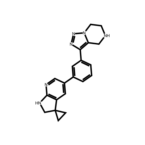 c1cc(-c2cnc3c(c2)C2(CC2)CN3)cc(-c2nnn3c2CNCC3)c1